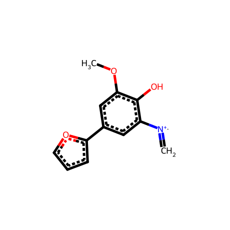 C=[N+]c1cc(-c2ccco2)cc(OC)c1O